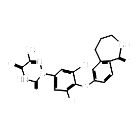 N#Cc1nn(-c2cc(Cl)c(Oc3ccc4c(c3)CCCNC4=O)c(Cl)c2)c(=O)[nH]c1=O